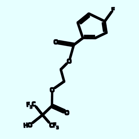 O=C(OCCOC(=O)C(O)(C(F)(F)F)C(F)(F)F)c1ccc(F)cc1